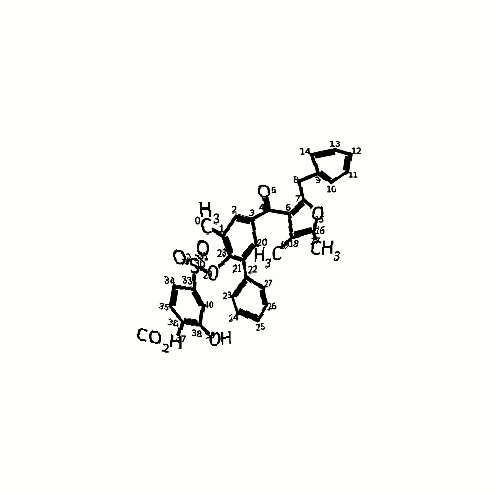 Cc1cc(C(=O)c2c(Cc3ccccc3)oc(C)c2C)cc(-c2ccccc2)c1OS(=O)(=O)c1ccc(C(=O)O)c(O)c1